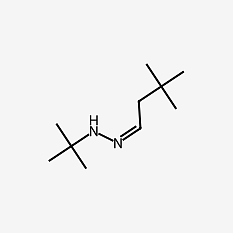 CC(C)(C)C/C=N\NC(C)(C)C